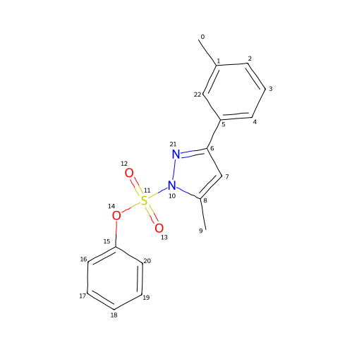 Cc1cccc(-c2cc(C)n(S(=O)(=O)Oc3ccccc3)n2)c1